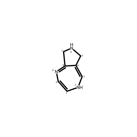 C1=CNC=C2CNCC2=N1